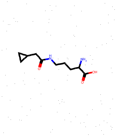 NC(CCCNC(=O)CC1CC1)C(=O)O